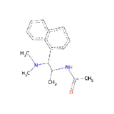 CC(=O)NC(C)C(c1cccc2ccccc12)N(C)C